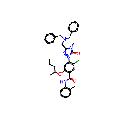 CCCC(C)Oc1cc(-n2nc(CN(Cc3ccccc3)Cc3ccccc3)n(C)c2=O)c(F)cc1C(=O)Nc1ccccc1C